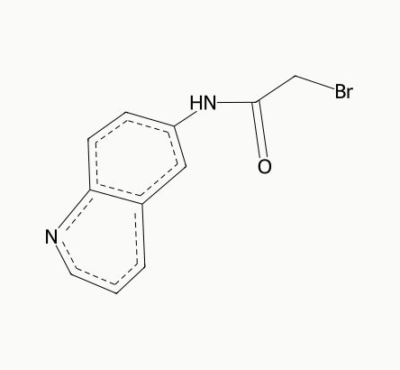 O=C(CBr)Nc1ccc2ncccc2c1